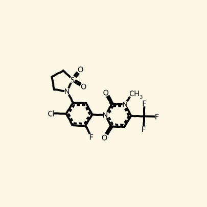 Cn1c(C(F)(F)F)cc(=O)n(-c2cc(N3CCCS3(=O)=O)c(Cl)cc2F)c1=O